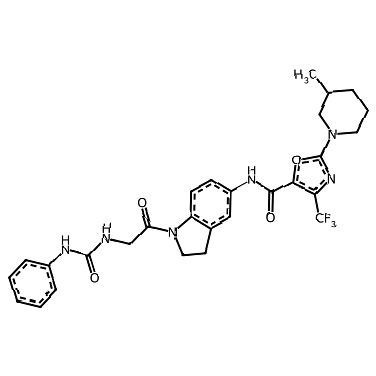 CC1CCCN(c2nc(C(F)(F)F)c(C(=O)Nc3ccc4c(c3)CCN4C(=O)CNC(=O)Nc3ccccc3)o2)C1